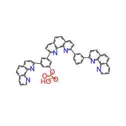 O=S(=O)(O)Oc1cc(-c2ccc3ccc4cccnc4c3n2)cc(-c2ccc3ccc4ccc(-c5cccc(-c6ccc7ccc8cccnc8c7n6)c5)nc4c3n2)c1